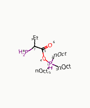 CCCCCCCC[PH](CCCCCCCC)(CCCCCCCC)OC(=O)C(P)CC